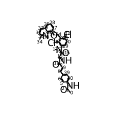 CC(=O)Nc1ccc(C=CC(=O)NCC(=O)N(C)c2ccc(Cl)c(COc3cccc4ccc(C)nc34)c2Cl)cc1